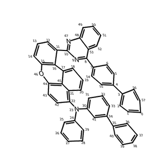 c1ccc(-c2ccc(-c3nc(-c4cccc5c4-c4cccc6c(N(c7ccccc7)c7cccc(-c8ccccc8)c7)ccc(c46)O5)nc4ccccc34)cc2)cc1